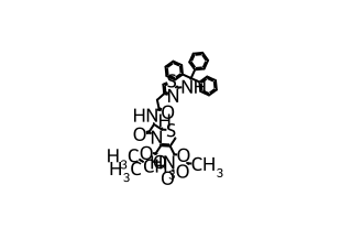 CC(=O)OC(NC=O)C1=C(C(=O)OC(C)(C)C)N2C(=O)[C@H](NC(=O)Cc3csc(NC(c4ccccc4)(c4ccccc4)c4ccccc4)n3)[C@H]2SC1